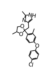 Cc1nc(CC2(c3ccc(Oc4ccc(Cl)cc4)cc3C)OCC(C)O2)c[nH]1